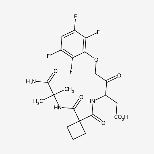 CC(C)(NC(=O)C1(C(=O)NC(CC(=O)O)C(=O)COc2c(F)c(F)cc(F)c2F)CCC1)C(N)=O